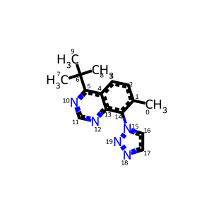 Cc1ccc2c(C(C)(C)C)ncnc2c1-n1ccnn1